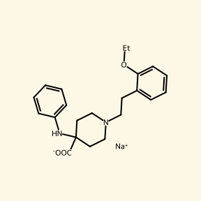 CCOc1ccccc1CCN1CCC(Nc2ccccc2)(C(=O)[O-])CC1.[Na+]